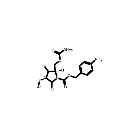 CC(=O)NC(=O)OC[C@]1(Cl)C(Cl)[C@H](SC(C)=O)C(Cl)N1C(=O)OCc1ccc([N+](=O)[O-])cc1